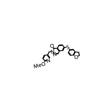 COc1ccc(Cn2ncc3cc(Sc4ccc5c(c4)CCO5)ccc3c2=O)cn1